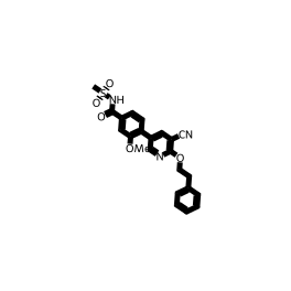 COc1cc(C(=O)NS(C)(=O)=O)ccc1-c1cnc(OCCc2ccccc2)c(C#N)c1